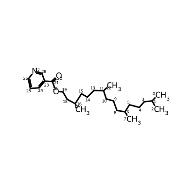 CC(C)CCCC(C)CCCC(C)CCCC(C)CCOC(=O)c1cccnc1